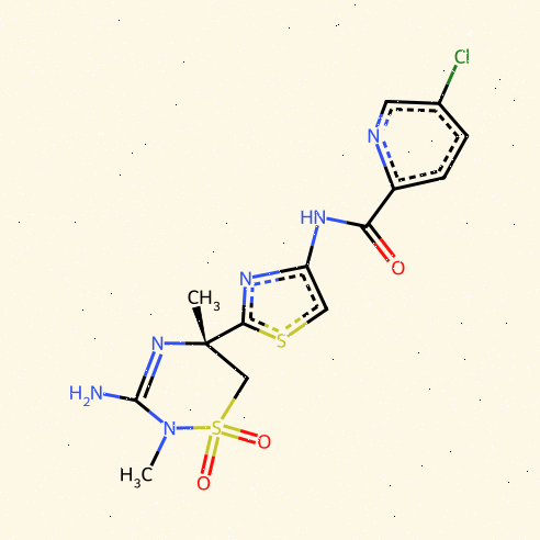 CN1C(N)=N[C@](C)(c2nc(NC(=O)c3ccc(Cl)cn3)cs2)CS1(=O)=O